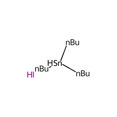 CCC[CH2][SnH]([CH2]CCC)[CH2]CCC.I